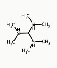 C[SiH](C)C([SiH](C)C)[SiH](C)C